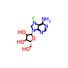 Nc1ncnc2c1N(F)CN2[C@@H]1O[C@H](CO)C(O)C1O